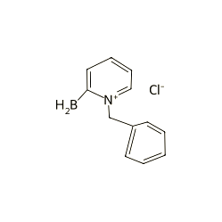 Bc1cccc[n+]1Cc1ccccc1.[Cl-]